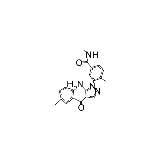 CNC(=O)c1ccc(C)c(-n2ncc(C(=O)c3cccc(C)c3)c2N)c1